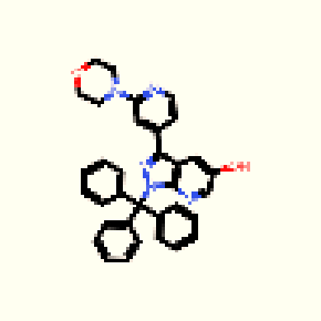 Oc1cnc2c(c1)c(-c1ccnc(N3CCOCC3)c1)nn2C(c1ccccc1)(c1ccccc1)c1ccccc1